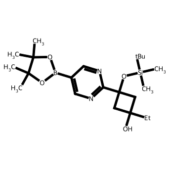 CCC1(O)CC(O[Si](C)(C)C(C)(C)C)(c2ncc(B3OC(C)(C)C(C)(C)O3)cn2)C1